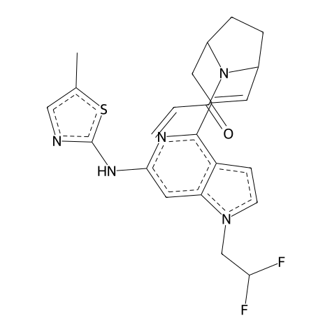 C=CC(=O)N1C2C=C(c3nc(Nc4ncc(C)s4)cc4c3ccn4CC(F)F)CC1CC2